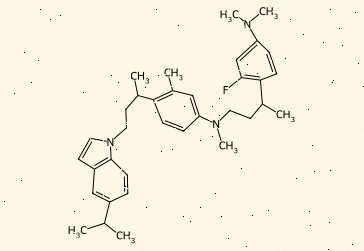 Cc1cc(N(C)CCC(C)c2ccc(N(C)C)cc2F)ccc1C(C)CCn1ccc2cc(C(C)C)ccc21